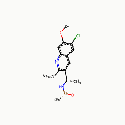 COc1nc2cc(OC(C)C)c(Cl)cc2cc1[C@H](C)N[S@+]([O-])C(C)(C)C